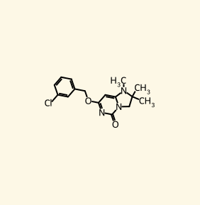 CN1c2cc(OCc3cccc(Cl)c3)nc(=O)n2CC1(C)C